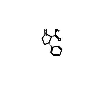 CC(C)C(=O)[C@H]1NCC[C@H]1c1ccccc1